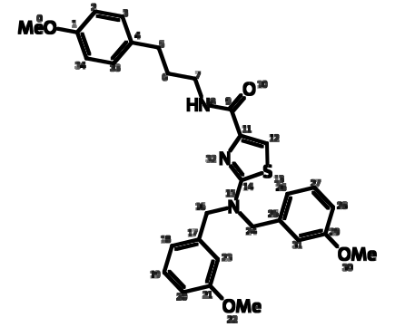 COc1ccc(CCCNC(=O)c2csc(N(Cc3cccc(OC)c3)Cc3cccc(OC)c3)n2)cc1